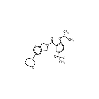 C[C@H](Oc1ccc(S(C)(=O)=O)cc1C(=O)N1Cc2ccc(C3CCCOC3)cc2C1)C(F)(F)F